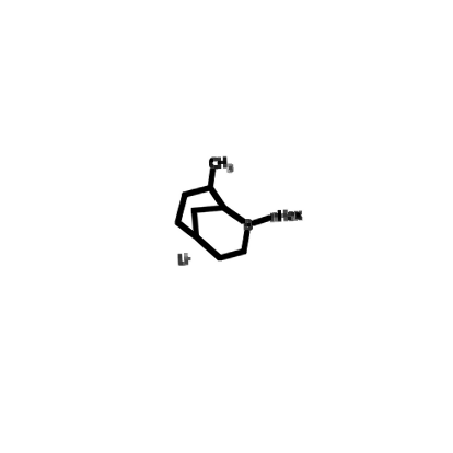 CCCCCCB1CCC2CCC(C)C1C2.[Li]